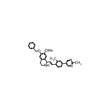 COc1cc2c(cc1OCc1ccccc1)CCNC2/C=C/c1ccc(-c2cnc(C)nc2)cc1C